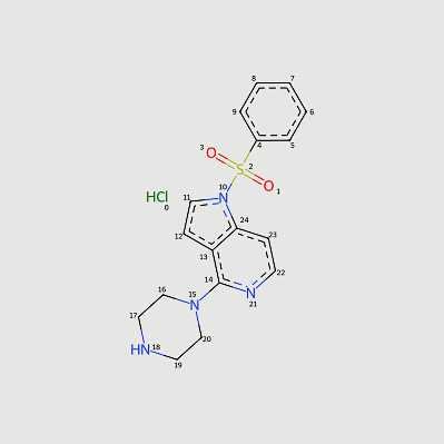 Cl.O=S(=O)(c1ccccc1)n1ccc2c(N3CCNCC3)nccc21